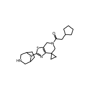 O=C(CC1CCCC1)N1Cc2sc(N3C4CCC3CNC4)nc2C2(CC2)C1